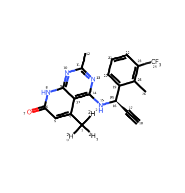 [2H]C([2H])([2H])c1cc(=O)[nH]c2nc(C)nc(N[C@H](C#C)c3cccc(C(F)(F)F)c3C)c12